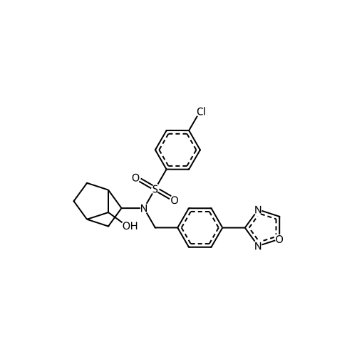 O=S(=O)(c1ccc(Cl)cc1)N(Cc1ccc(-c2ncon2)cc1)C1CC2CCC1C2O